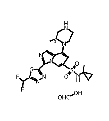 C[C@H]1CNCCN1c1cc(S(=O)(=O)NC2(C)CC2)cn2c(-c3nnc(C(F)F)s3)ncc12.O=CO